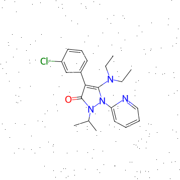 CCN(CC)c1c(-c2cccc(Cl)c2)c(=O)n(C(C)C)n1-c1ccccn1